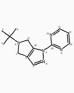 CC(C)(C)N1Cc2cnn(-c3ncccn3)c2C1